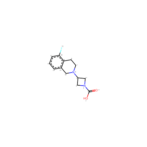 O=C(O)N1CC(N2CCc3c(F)cccc3C2)C1